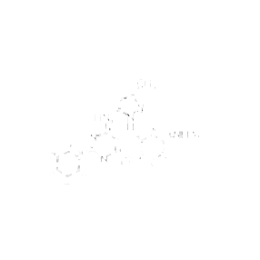 CC(=O)Nc1ccc(Sc2cc(Nc3cc(C)n[nH]3)nc(-c3ccccc3)n2)cc1